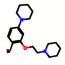 Brc1ccc(N2CCCCC2)cc1OCCN1CCCCC1